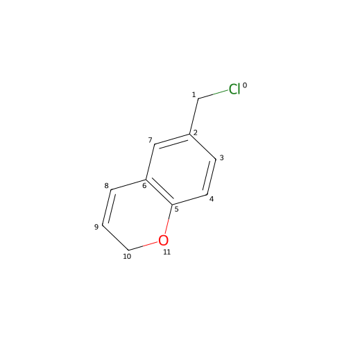 ClCc1ccc2c(c1)C=CCO2